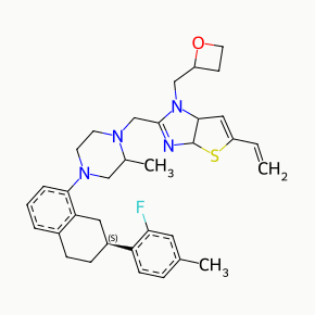 C=CC1=CC2C(N=C(CN3CCN(c4cccc5c4C[C@@H](c4ccc(C)cc4F)CC5)CC3C)N2CC2CCO2)S1